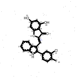 O=C1/C(=C/c2c(-c3ccc(F)c(Cl)c3)[nH]c3ccccc23)Oc2cc(O)cc(O)c21